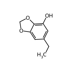 CCc1cc(O)c2c(c1)OCO2